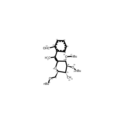 CCCCOC[C@H]1O/C(=C(\C)c2ccccc2C=O)[C@H](OCCCC)[C@@H](OCCCC)[C@@H]1C